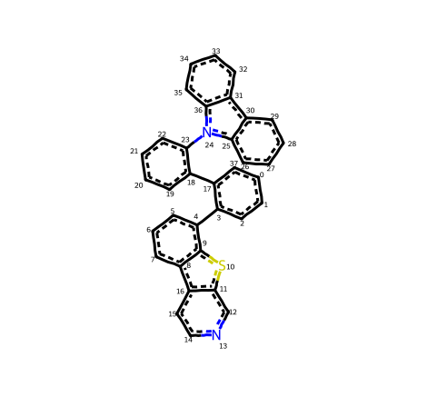 c1ccc(-c2cccc3c2sc2cnccc23)c(-c2ccccc2-n2c3ccccc3c3ccccc32)c1